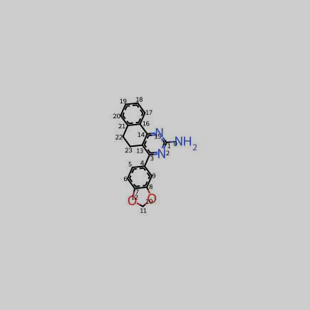 Nc1nc(-c2ccc3c(c2)OCO3)c2c(n1)-c1ccccc1CC2